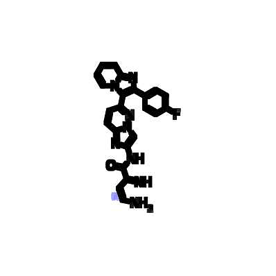 N=C(/C=C\N)C(=O)Nc1cn2nc(-c3c(-c4ccc(F)cc4)nc4ccccn34)ccc2n1